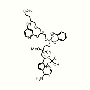 CCCCCCCCCCCCCCOC[C@H](COP(=O)(OC[C@](C#N)(C[C@@H](OC(C)(C)O)c1ccc2c(N)ncnn12)OC)Oc1ccccc1Cl)Oc1cc(C#N)ccn1